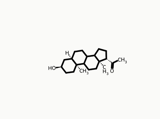 CC(=O)[C@H]1CCC2C3CC[C@@H]4C[C@H](O)CC[C@]4(C)C3CC[C@@]21C